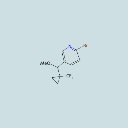 COC(c1ccc(Br)nc1)C1(C(F)(F)F)CC1